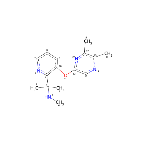 CNC(C)(C)c1ncccc1Oc1cnc(C)c(C)n1